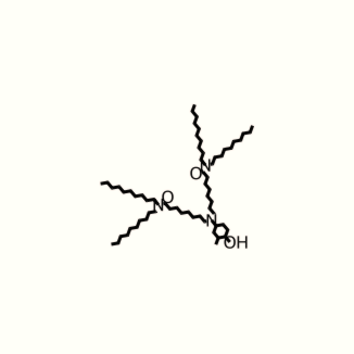 CCCCCCCCCCN(CCCCCCCCCC)C(=O)CCCCCCCN(CCCCCCCC(=O)N(CCCCCCCCCC)CCCCCCCCCC)C1CCC(O)C(C)C1